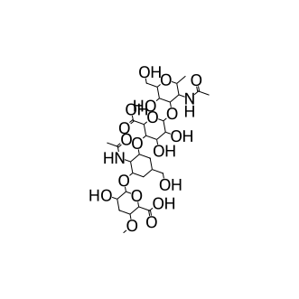 COC1CC(O)C(OC2CC(CO)CC(OC3C(C(=O)O)OC(OC4C(O)C(CO)OC(C)C4NC(C)=O)C(O)C3O)C2NC(C)=O)OC1C(=O)O